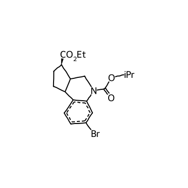 CCOC(=O)[C@@H]1CCC2c3ccc(Br)cc3N(C(=O)OC(C)C)CC21